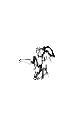 N/C(=N\O)[C@H](N[C@@H](CO)c1ccccc1)c1ccc(Cl)s1